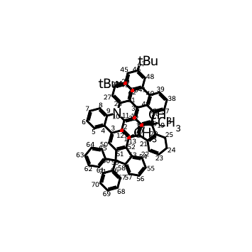 CC1CC(c2ccccc2N(c2ccc3c(c2)C(C)(C)C2=C3C=CCC2)c2ccccc2-c2cccc3cccc(-c4cc(C(C)(C)C)cc(C(C)(C)C)c4)c23)=CC2=C1c1ccccc1C2(c1ccccc1)c1ccccc1